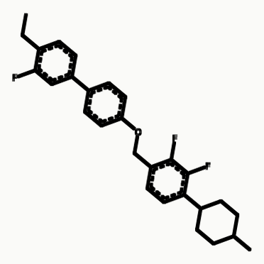 CCc1ccc(-c2ccc(OCc3ccc(C4CCC(C)CC4)c(F)c3F)cc2)cc1F